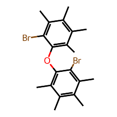 Cc1c(C)c(C)c(Oc2c(C)c(C)c(C)c(C)c2Br)c(Br)c1C